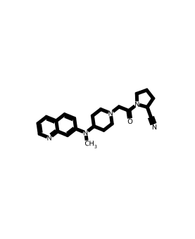 CN(c1ccc2cccnc2c1)C1CCN(CC(=O)N2CCCC2C#N)CC1